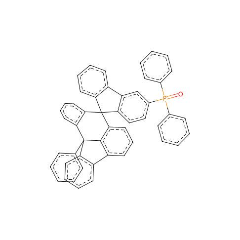 O=P(c1ccccc1)(c1ccccc1)c1ccc2c(c1)-c1ccccc1C21c2ccccc2C2(c3ccccc3)c3ccccc3-c3cccc1c32